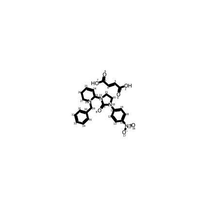 O=C(O)C=CC(=O)O.O=C1N(c2ccc([N+](=O)[O-])cc2)CCN1C1C=CCCN1Cc1ccccc1